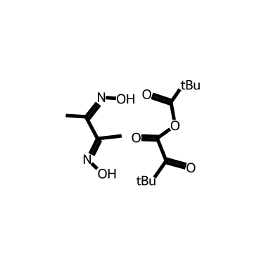 CC(=NO)C(C)=NO.CC(C)(C)C(=O)OC(=O)C(=O)C(C)(C)C